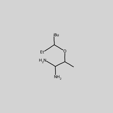 CCC(C)C(CC)OC(C)C(N)N